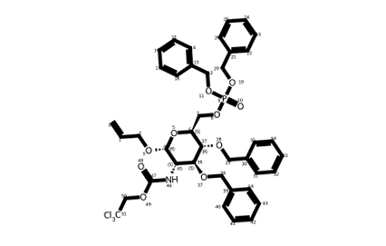 C=CCO[C@@H]1O[C@@H](COP(=O)(OCc2ccccc2)OCc2ccccc2)[C@H](OCc2ccccc2)[C@@H](OCc2ccccc2)[C@@H]1NC(=O)OCC(Cl)(Cl)Cl